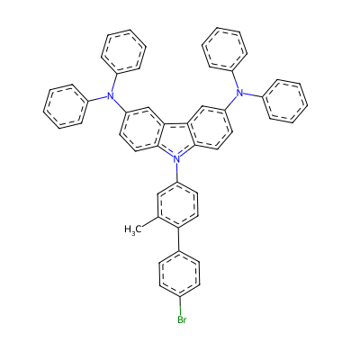 Cc1cc(-n2c3ccc(N(c4ccccc4)c4ccccc4)cc3c3cc(N(c4ccccc4)c4ccccc4)ccc32)ccc1-c1ccc(Br)cc1